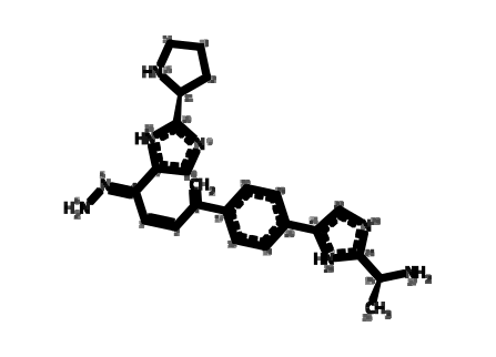 C=C(/C=C\C(=N/N)c1cnc([C@@H]2CCCN2)[nH]1)c1ccc(-c2cnc([C@H](C)N)[nH]2)cc1